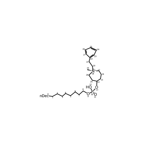 CCCCCCCCCCCCCCCCCCOP(=O)(O)OC1CCC[N@@+](C)(CCc2ccccc2)CC1